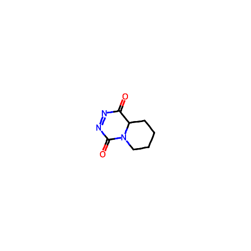 O=C1N=NC(=O)N2CCCCC12